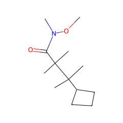 CON(C)C(=O)C(C)(C)C(C)(C)C1CCC1